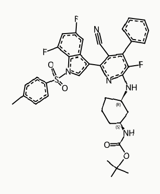 Cc1ccc(S(=O)(=O)n2cc(-c3nc(N[C@@H]4CCC[C@H](NC(=O)OC(C)(C)C)C4)c(F)c(-c4ccccc4)c3C#N)c3cc(F)cc(F)c32)cc1